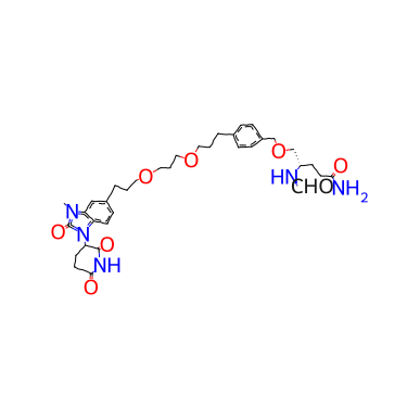 Cn1c(=O)n(C2CCC(=O)NC2=O)c2ccc(CCCOCCCOCCCc3ccc(COC[C@H](CCC(N)=O)NC=O)cc3)cc21